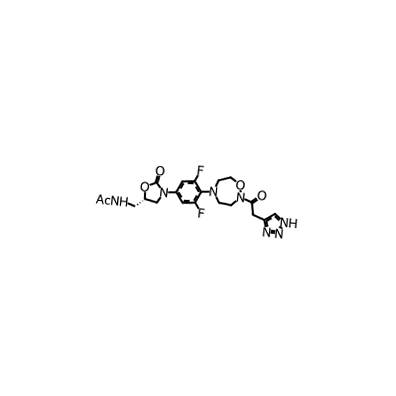 CC(=O)NC[C@H]1CN(c2cc(F)c(N3CCON(C(=O)Cc4c[nH]nn4)CC3)c(F)c2)C(=O)O1